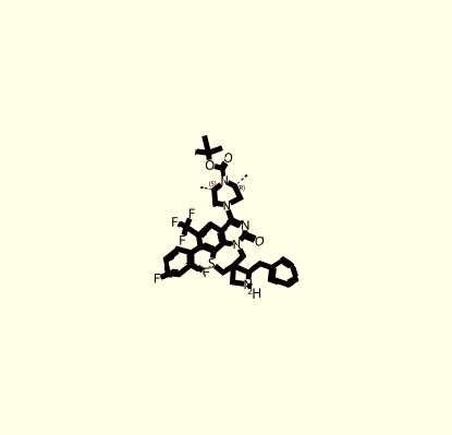 [2H]N1CC2(CSc3c(-c4ccc(F)cc4F)c(C(F)(F)F)cc4c(N5C[C@@H](C)N(C(=O)OC(C)(C)C)[C@@H](C)C5)nc(=O)n(c34)C2)C1Cc1ccccc1